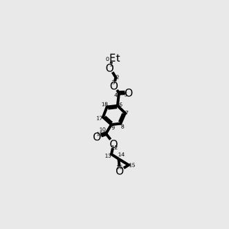 CCOCOC(=O)c1ccc(C(=O)OCC2CO2)cc1